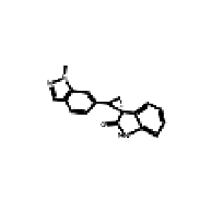 Cn1ncc2ccc(C3C[C@]34C(=O)Nc3ccccc34)cc21